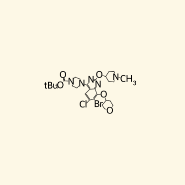 CN1CCC(Oc2nc(N3CCN(C(=O)OC(C)(C)C)CC3)c3cc(Cl)c(Br)c(OC4CCOCC4)c3n2)CC1